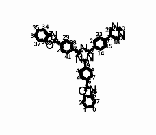 c1ccc2oc(-c3ccc(-c4nc(-c5ccc(-c6cncnc6)cc5)nc(-c5ccc(-c6nc7ccccc7o6)cc5)n4)cc3)nc2c1